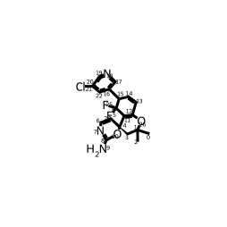 CC1(C)C[C@@]2(C=CN=C(N)O2)C2=C(C=CC(c3cncc(Cl)c3)C2(F)F)O1